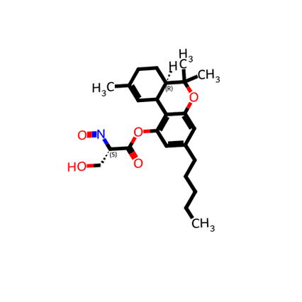 CCCCCc1cc(OC(=O)[C@H](CO)N=O)c2c(c1)OC(C)(C)[C@@H]1CCC(C)=CC21